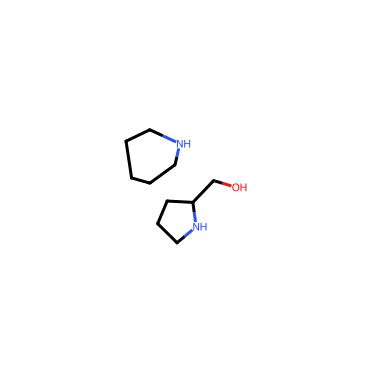 C1CCNCC1.OCC1CCCN1